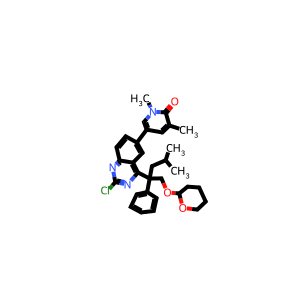 Cc1cc(-c2ccc3nc(Cl)nc(C(COC4CCCCO4)(CC(C)C)c4ccccc4)c3c2)cn(C)c1=O